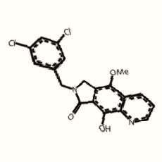 COc1c2c(c(O)c3ncccc13)C(=O)N(Cc1cc(Cl)cc(Cl)c1)C2